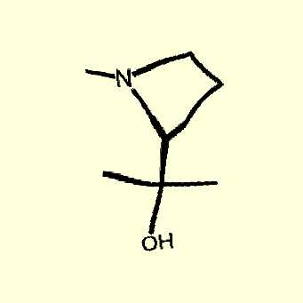 CN1CCC1C(C)(C)O